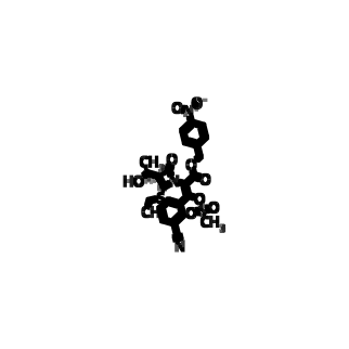 CCS[C@@H]1[C@@H]([C@@H](C)O)C(=O)N1C(C(=O)OCc1ccc([N+](=O)[O-])cc1)=C(OS(C)(=O)=O)c1cccc(C#N)c1